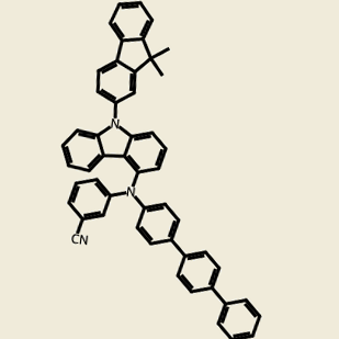 CC1(C)c2ccccc2-c2ccc(-n3c4ccccc4c4c(N(c5ccc(-c6ccc(-c7ccccc7)cc6)cc5)c5cccc(C#N)c5)cccc43)cc21